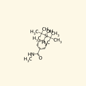 CNC(=O)c1ccc([Si](O)(C(C)(C)C)C(C)(C)C)cc1